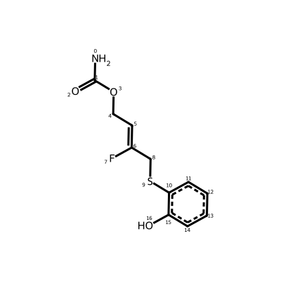 NC(=O)OCC=C(F)CSc1ccccc1O